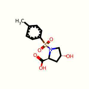 Cc1ccc(S(=O)(=O)N2C[C@H](O)C[C@H]2C(=O)O)cc1